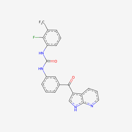 O=C(Nc1cccc(C(=O)c2c[nH]c3ncccc23)c1)Nc1cccc(C(F)(F)F)c1F